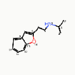 CC(C)NCCc1cc2ccccc2o1